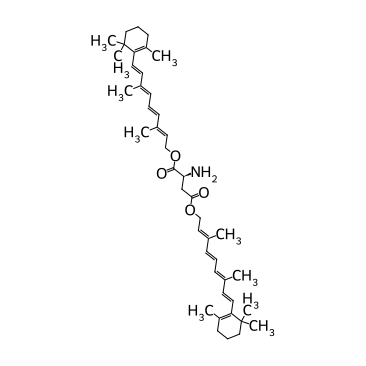 CC1=C(/C=C/C(C)=C/C=C/C(C)=C/COC(=O)C[C@H](N)C(=O)OC/C=C(C)/C=C/C=C(C)/C=C/C2=C(C)CCCC2(C)C)C(C)(C)CCC1